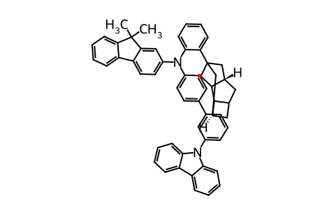 CC1(C)c2ccccc2-c2ccc(N(c3ccc(-c4cccc(-n5c6ccccc6c6ccccc65)c4)cc3)c3ccccc3C34CC5C6C(C[C@H]5C3)C[C@H]6C4)cc21